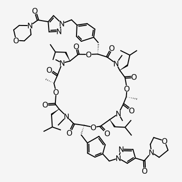 CC(C)C[C@H]1C(=O)O[C@H](Cc2ccc(Cn3cc(C(=O)N4CCOCC4)cn3)cc2)C(=O)N(C)[C@@H](CC(C)C)C(=O)O[C@H](C)C(=O)N(C)[C@@H](CC(C)C)C(=O)O[C@H](Cc2ccc(Cn3cc(C(=O)N4CCOCC4)cn3)cc2)C(=O)N(C)[C@@H](CC(C)C)C(=O)O[C@H](C)C(=O)N1C